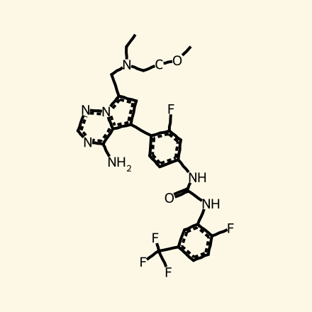 CCN(CCOC)Cc1cc(-c2ccc(NC(=O)Nc3cc(C(F)(F)F)ccc3F)cc2F)c2c(N)ncnn12